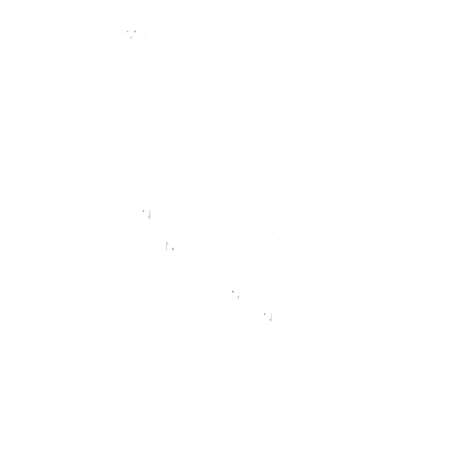 COc1ccc(-c2cc(C(=O)N/N=C(\C)c3ccccc3)n(-c3ccccc3)n2)cc1